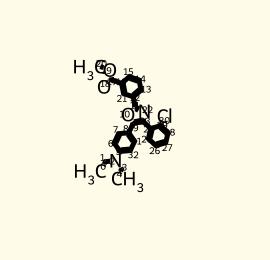 CCN(CC)c1ccc(-c2oc(-c3cccc(C(=O)OC)c3)nc2-c2ccccc2Cl)cc1